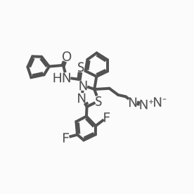 [N-]=[N+]=NCCCC1(c2ccccc2)SC(c2cc(F)ccc2F)=NN1C(=S)NC(=O)c1ccccc1